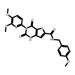 COc1ccc(CNC(=O)c2cc3[nH]c(=O)n(-c4ccc(OC)c(OC)n4)c(=O)c3s2)cc1